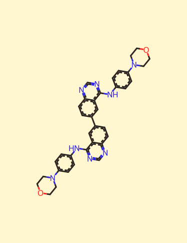 c1nc(Nc2ccc(N3CCOCC3)cc2)c2cc(-c3ccc4ncnc(Nc5ccc(N6CCOCC6)cc5)c4c3)ccc2n1